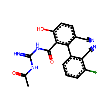 CC(=O)NC(=N)NC(=O)c1c(O)ccc(C#N)c1-c1cccc(F)c1C#N